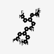 FCc1cncc(-c2cccc(-c3cc(-c4cccc(-c5cncc(-c6cccc(-c7cc(-c8cccc(-c9cncc(CF)c9)c8)cc(-c8cccc(-c9cncc(C(F)(F)F)c9)c8)c7)c6)c5)c4)cc(-c4cccc(-c5cncc(C(F)(F)F)c5)c4)c3)c2)c1